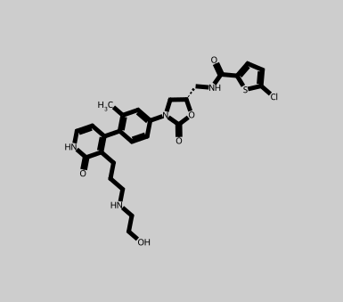 Cc1cc(N2C[C@H](CNC(=O)c3ccc(Cl)s3)OC2=O)ccc1-c1cc[nH]c(=O)c1CCCNCCO